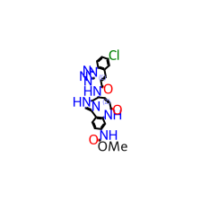 COC(=O)Nc1ccc2c(c1)NC(=O)/C=C\C(NC(=O)/C=C/c1cc(Cl)ccc1-n1cnnn1)c1nc-2c[nH]1